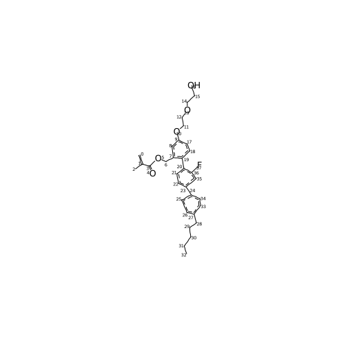 C=C(C)C(=O)OCc1cc(OCCOCCO)ccc1-c1ccc(-c2ccc(CCCCC)cc2)cc1F